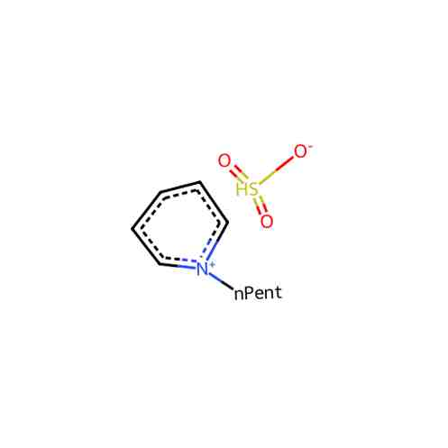 CCCCC[n+]1ccccc1.O=[SH](=O)[O-]